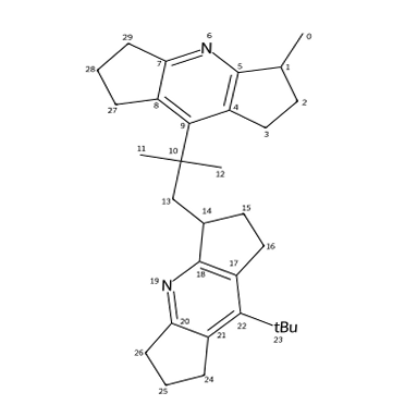 CC1CCc2c1nc1c(c2C(C)(C)CC2CCc3c2nc2c(c3C(C)(C)C)CCC2)CCC1